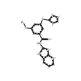 CC(C)Oc1cc(Sc2nncs2)cc(C(=O)Nc2nc3cccnc3s2)c1